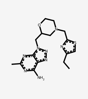 CCc1csc(CN2CCOC(Cn3nnc4c(N)nc(C)nc43)C2)n1